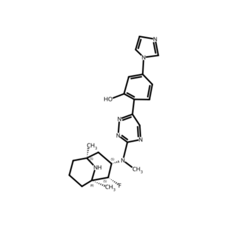 CN(c1ncc(-c2ccc(-n3ccnc3)cc2O)nn1)[C@H]1C[C@]2(C)CCC[C@@](C)(N2)[C@H]1F